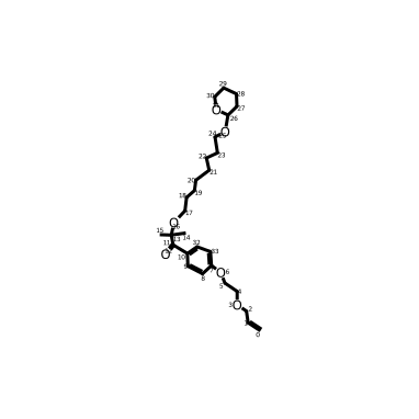 C=CCOCCOc1ccc(C(=O)C(C)(C)OCCCCCCCCOC2CCCCO2)cc1